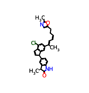 C/C(=C\C=C/CCc1cnc(C)o1)c1cc(Cl)c2c(c1)C(c1ccc3c(c1)[C@H](C)C(=O)N3)C=C2